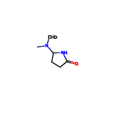 CN([C]=O)C1CCC(=O)N1